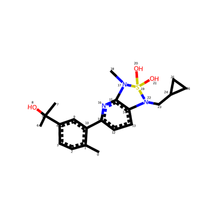 Cc1ccc(C(C)(C)O)cc1-c1ccc2c(n1)N(C)S(O)(O)N2CC1CC1